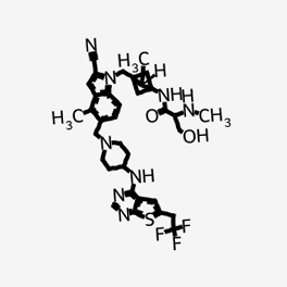 CNC(CO)C(=O)NC12CC(Cn3c(C#N)cc4c(C)c(CN5CCC(Nc6ncnc7sc(CC(F)(F)F)cc67)CC5)ccc43)(C1)[C@@H]2C